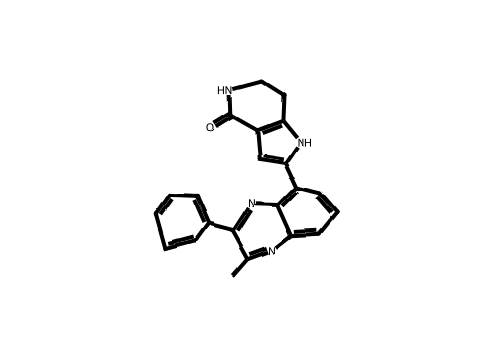 Cc1nc2cccc(-c3cc4c([nH]3)CCNC4=O)c2nc1-c1ccccc1